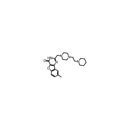 Cc1ccc2oc3c(=O)[nH]c(CN4CCN(CCN5CCCCC5)CC4)nc3c2c1